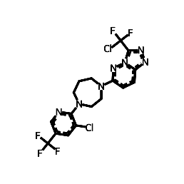 FC(F)(F)c1cnc(N2CCCN(c3ccc4nnc(C(F)(F)Cl)n4n3)CC2)c(Cl)c1